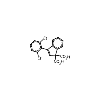 CCc1cccc(CC)c1C1=CC(C(=O)O)(C(=O)O)c2ccccc21